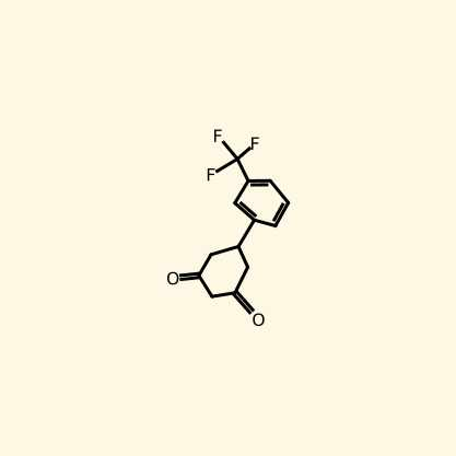 O=C1CC(=O)CC(c2cccc(C(F)(F)F)c2)C1